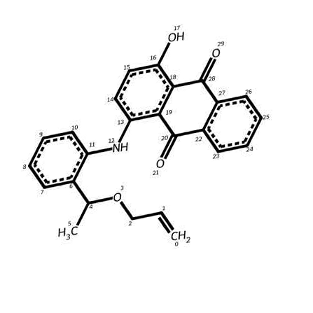 C=CCOC(C)c1ccccc1Nc1ccc(O)c2c1C(=O)c1ccccc1C2=O